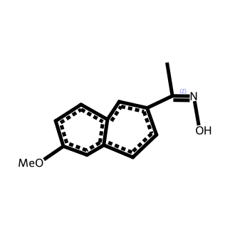 COc1ccc2cc(/C(C)=N\O)ccc2c1